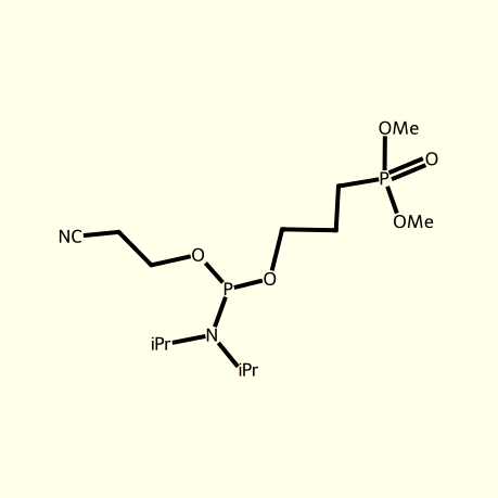 COP(=O)(CCCOP(OCCC#N)N(C(C)C)C(C)C)OC